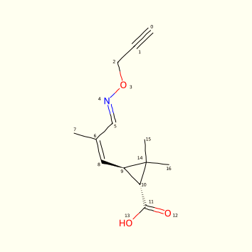 C#CCON=CC(C)=C[C@@H]1[C@@H](C(=O)O)C1(C)C